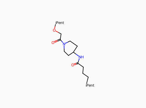 CCCC(C)CCCC(=O)NC1CCN(C(=O)COC(C)CCC)CC1